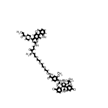 C=CC(=O)N1CCN(c2nc(NCCC(=O)N(C)CCOCCOCCOCCONC(=O)c3ccc(NC(=O)[C@@H]4N[C@@H](CC(C)(C)C)[C@](C#N)(c5ccc(Cl)cc5F)[C@H]4c4cccc(Cl)c4F)c(OC)c3)nc3c(F)c(-c4c(O)cccc4F)c(Cl)cc23)CC1